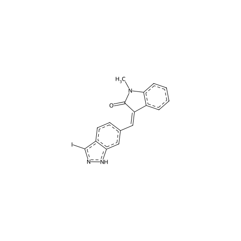 CN1C(=O)C(=Cc2ccc3c(I)n[nH]c3c2)c2ccccc21